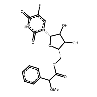 COC(C(=O)OC[C@@H]1O[C@H](n2cc(F)c(=O)[nH]c2=O)C(O)C1O)c1ccccc1